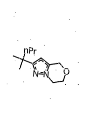 CCCC(C)(C)c1cc2n(n1)CCOC2